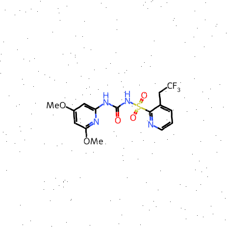 COc1cc(NC(=O)NS(=O)(=O)c2ncccc2CC(F)(F)F)nc(OC)c1